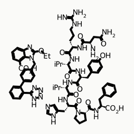 CC(C)[C@H](NC(=O)[C@H](CCCNC(=N)N)NC(=O)[C@@H](N)CC(N)=O)C(=O)N[C@@H](Cc1ccc(O)cc1)C(=O)N[C@H](C(=O)N[C@@H](Cc1cnc[nH]1)C(=O)N1CCC[C@H]1C(=O)N[C@@H](Cc1ccccc1)C(=O)O)C(C)C.CCOc1nc2cccc(C(=O)O)c2n1Cc1ccc(-c2ccccc2-c2nnn[nH]2)cc1